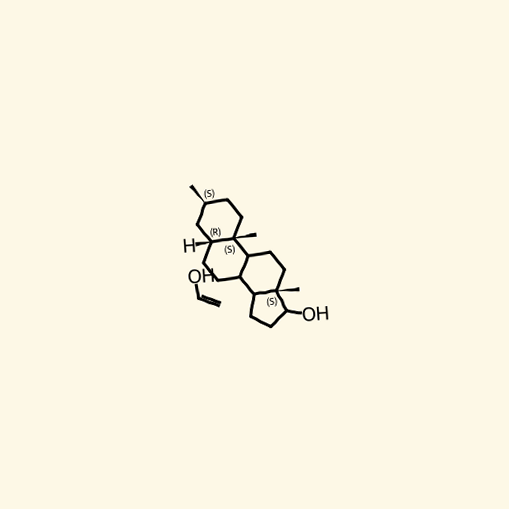 C=CO.C[C@H]1CC[C@]2(C)C3CC[C@]4(C)C(O)CCC4C3CC[C@@H]2C1